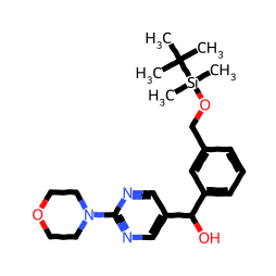 CC(C)(C)[Si](C)(C)OCc1cccc(C(O)c2cnc(N3CCOCC3)nc2)c1